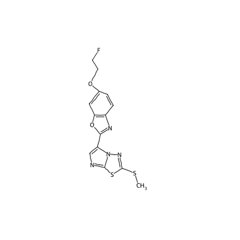 CSc1nn2c(-c3nc4ccc(OCCF)cc4o3)cnc2s1